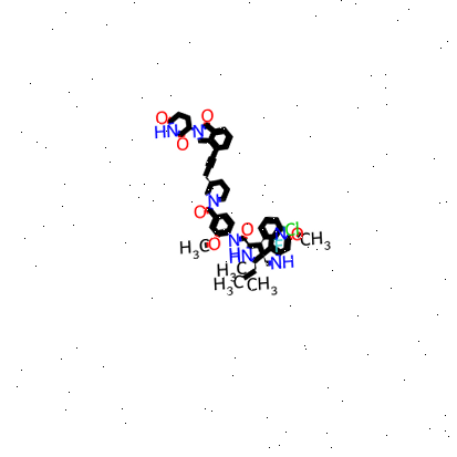 COc1cc2c(cn1)[C@@]1(CN2)[C@H](CC(C)(C)C)N[C@@H](C(=O)Nc2ccc(C(=O)N3CCC[C@@H](CC#Cc4cccc5c4CN([C@@H]4CCC(=O)NC4=O)C5=O)C3)cc2OC)[C@@H]1c1cccc(Cl)c1F